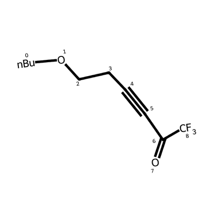 CCCCOCCC#CC(=O)C(F)(F)F